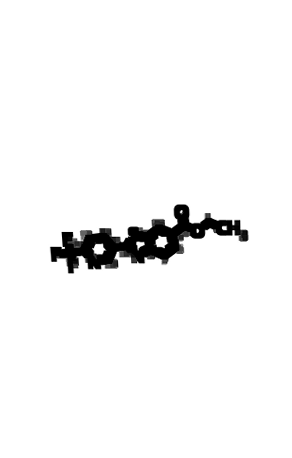 CCOC(=O)c1ccc2nc(-c3ccc(C(F)(F)F)nc3)sc2c1